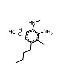 CCCCc1ccc(NC)c(N)c1C.Cl.Cl